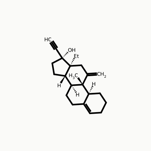 C#C[C@]1(O)CC[C@H]2[C@@H]3CCC4=CCCC[C@@H]4[C@@]3(C)C(=C)C[C@@]21CC